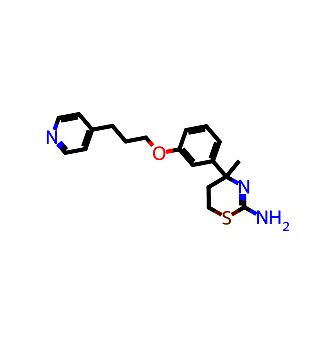 CC1(c2cccc(OCCCc3ccncc3)c2)CCSC(N)=N1